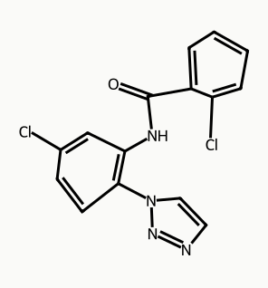 O=C(Nc1cc(Cl)ccc1-n1ccnn1)c1ccccc1Cl